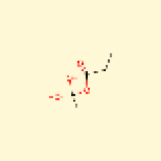 CCC(=O)OC(C)(O)O